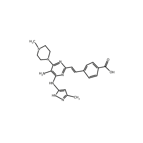 Cc1cc(Nc2nc(C=Cc3ccc(C(=O)O)cc3)nc(N3CCN(C)CC3)c2N)[nH]n1